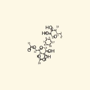 CC[C@H]1O[C@H](c2ccc([C@H]3O[C@H](COC(C)=O)[C@@H](OC(C)=O)[C@H](O)[C@@H]3O)cc2)[C@@H](O)[C@@H](O)[C@@H]1C